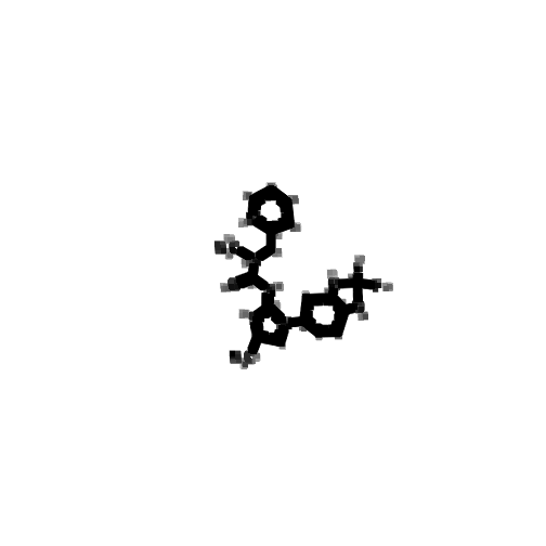 Cc1cn(-c2ccc3c(c2)OC(F)(F)O3)c(=NC(=O)N(C)Cc2ccccn2)s1